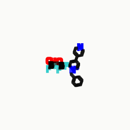 OB(F)F.[O-]B(F)F.c1ccc(C[n+]2ccc(-c3ccncc3)cc2)cc1